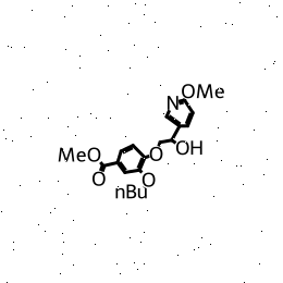 CCCCOc1cc(C(=O)OC)ccc1OCC(O)c1ccc(OC)nc1